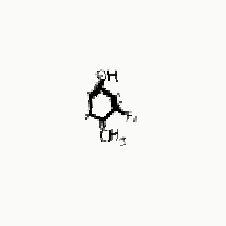 CC1CC=C(O)C=C1F